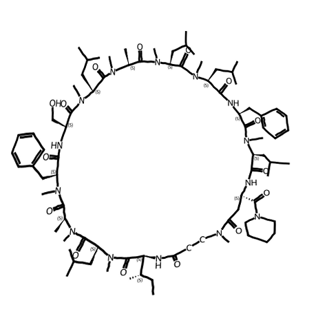 CC[C@H](C)[C@@H]1NC(=O)CCN(C)C(=O)C[C@@H](C(=O)N2CCCCC2)NC(=O)[C@H](CC(C)C)N(C)C(=O)[C@H](Cc2ccccc2)NC(=O)[C@H](CC(C)C)N(C)C(=O)[C@H](CC(C)C)N(C)C(=O)[C@H](C)N(C)C(=O)[C@H](CC(C)C)N(C)C(=O)[C@H](CO)NC(=O)[C@H](Cc2ccccc2)N(C)C(=O)[C@H](C)N(C)C(=O)[C@H](CC(C)C)N(C)C1=O